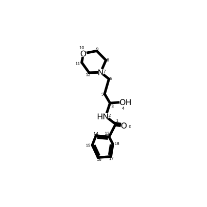 O=C(NC(O)CCN1CCOCC1)c1ccccc1